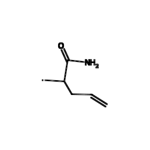 [CH2]C(CC=C)C(N)=O